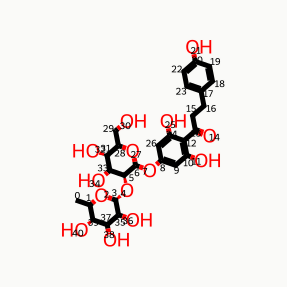 CC1O[C@@H](O[C@@H]2C(Oc3cc(O)c(C(=O)CCc4ccc(O)cc4)c(O)c3)OC(CO)[C@H](O)C2O)C(O)C(O)[C@H]1O